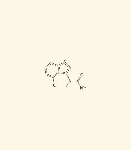 CCCC(=O)N(C)c1nsc2cccc(Cl)c12